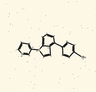 CC(C)(C)c1ccc(-c2cccc3c2ccn3-c2cccnc2)cc1